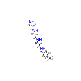 CC(C)(C)c1ccc(CNCCCNCCCNCCCN)cc1